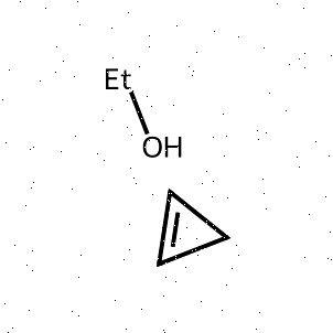 C1=CC1.CCO